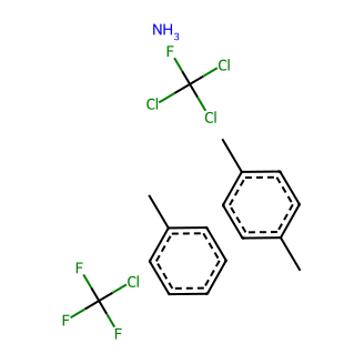 Cc1ccc(C)cc1.Cc1ccccc1.FC(Cl)(Cl)Cl.FC(F)(F)Cl.N